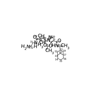 CC(C)Oc1c(C(=O)NC(C)C2CC3CCCC(C3)C2)cnn1/C=C/C(C)(C)C(=O)NCCN